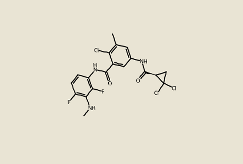 CNc1c(F)ccc(NC(=O)c2cc(NC(=O)[C@H]3CC3(Cl)Cl)cc(C)c2Cl)c1F